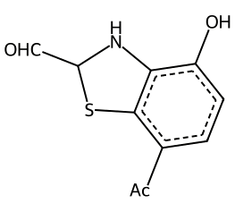 CC(=O)c1ccc(O)c2c1SC(C=O)N2